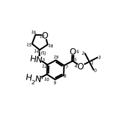 CC(C)(C)OC(=O)c1ccc(N)c(N[C@H]2CCOC2)c1